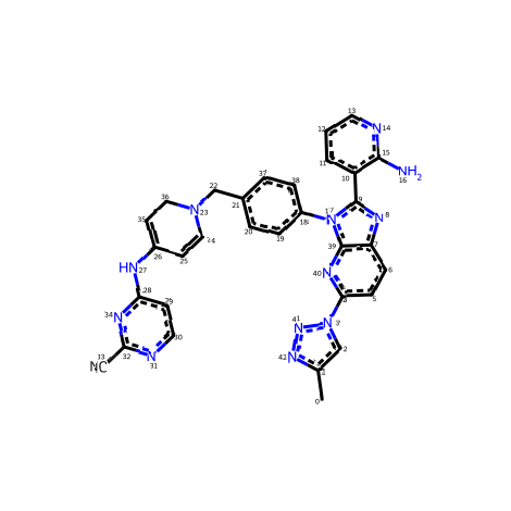 Cc1cn(-c2ccc3nc(-c4cccnc4N)n(-c4ccc(CN5C=CC(Nc6ccnc(C#N)n6)=CC5)cc4)c3n2)nn1